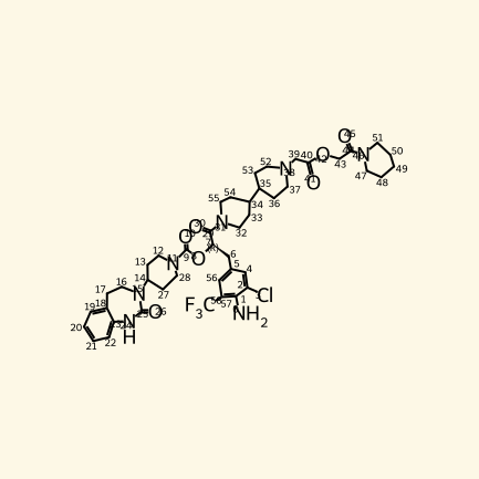 Nc1c(Cl)cc(C[C@@H](OC(=O)N2CCC(N3CCc4ccccc4NC3=O)CC2)C(=O)N2CCC(C3CCN(CC(=O)OCC(=O)N4CCCCC4)CC3)CC2)cc1C(F)(F)F